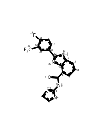 O=C(Nc1nccs1)c1cccc2[nH]c(-c3ccc(F)c(C(F)(F)F)c3)nc12